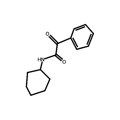 O=C(NC1CCCCC1)C(=O)c1ccccc1